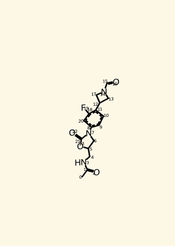 CC(=O)NCC1CN(c2ccc(C3CN(C=O)C3)c(F)c2)C(=O)O1